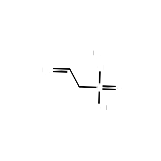 C=CCP(=O)(O)O.O